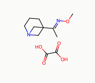 CON=C(C)C12CCCN(C1)C2.O=C(O)C(=O)O